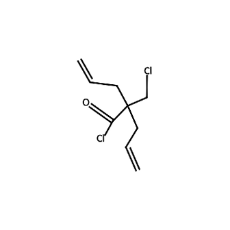 C=CCC(CCl)(CC=C)C(=O)Cl